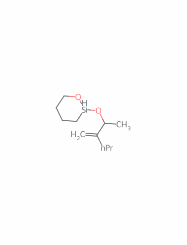 C=C(CCC)C(C)O[SiH]1CCCCO1